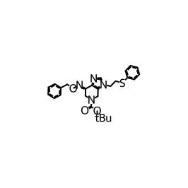 CC(C)(C)OC(=O)N1CC(=NOCc2ccccc2)c2ncn(CCSc3ccccc3)c2C1